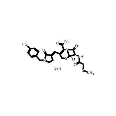 CSCC(=O)N[C@@H]1C(=O)N2C(C(=O)O)=C(/C=C3\CCN(Cc4ccc(O)cc4)C3=O)CS[C@H]12.[NaH]